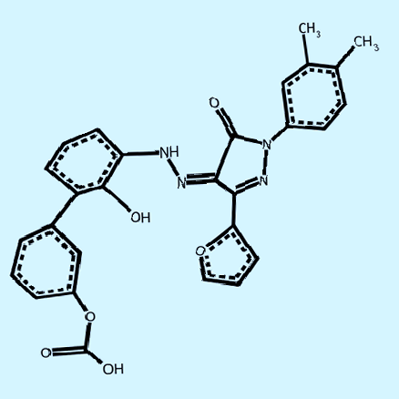 Cc1ccc(N2N=C(c3ccco3)C(=NNc3cccc(-c4cccc(OC(=O)O)c4)c3O)C2=O)cc1C